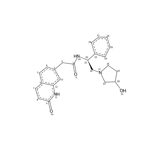 O=C(Cc1ccc2ccc(=O)[nH]c2c1)N[C@H](CN1CCC(O)C1)c1ccccc1